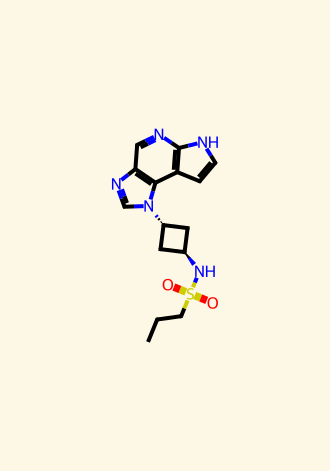 CCCS(=O)(=O)N[C@H]1C[C@H](n2cnc3cnc4[nH]ccc4c32)C1